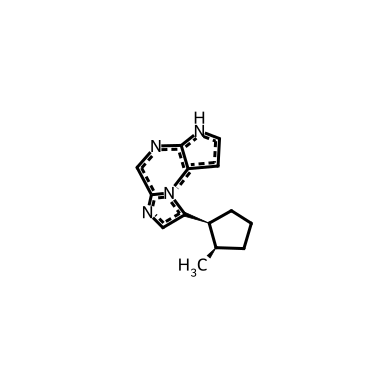 C[C@@H]1CCC[C@@H]1c1cnc2cnc3[nH]ccc3n12